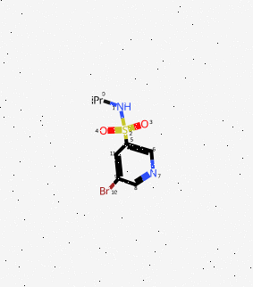 CC(C)NS(=O)(=O)c1cncc(Br)c1